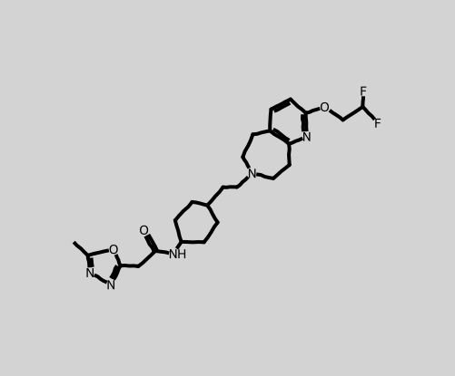 Cc1nnc(CC(=O)NC2CCC(CCN3CCc4ccc(OCC(F)F)nc4CC3)CC2)o1